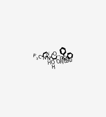 CC(C)(C)[Si](OC[C@H]1OC[C@H](Nc2nccc(C(F)(F)F)n2)[C@@H](O)[C@H]1O)(c1ccccc1)c1ccccc1